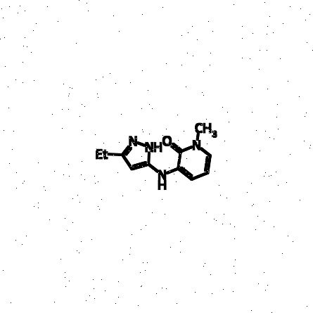 CCc1cc(Nc2cccn(C)c2=O)[nH]n1